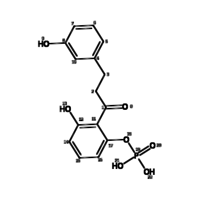 O=C(CCc1cccc(O)c1)c1c(O)cccc1OP(=O)(O)O